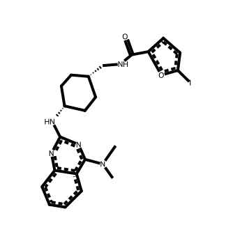 CN(C)c1nc(N[C@H]2CC[C@@H](CNC(=O)c3ccc(I)o3)CC2)nc2ccccc12